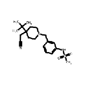 CC(C)(C)C1(CC#N)CCN(Cc2cccc(NS(C)(=O)=O)c2)CC1